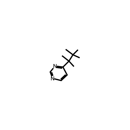 CC(C)(C)C(C)(C)c1ccncn1